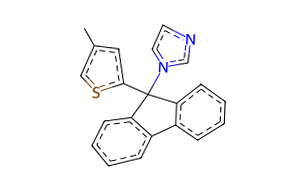 Cc1csc(C2(n3ccnc3)c3ccccc3-c3ccccc32)c1